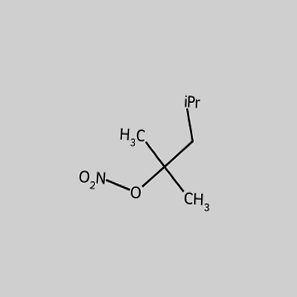 CC(C)CC(C)(C)O[N+](=O)[O-]